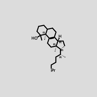 CC(C)CCC[C@@H](C)[C@H]1CC[C@H]2C3=C(CC[C@]12C)[C@]1(C)C(CCCC1(C)O)CC3